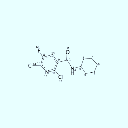 O=C(NC1CCCCC1)c1cc(F)c(Cl)nc1Cl